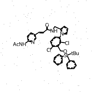 CC(=O)Nc1ccc(C=CC(=O)NCc2cccn2-c2ccc(Cl)c(CO[Si](c3ccccc3)(c3ccccc3)C(C)(C)C)c2Cl)cn1